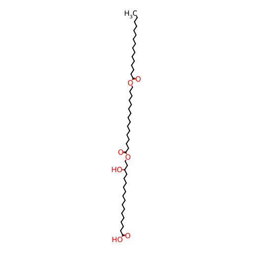 CCCCCCCCCCCCCCCC(=O)OCCCCCCCCCCCCCCCC(=O)OCCC(O)CCCCCCCCCCCCCCC(=O)O